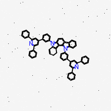 C1=Cc2c(c3c(ccc4c5ccccc5n(-c5cccc(-c6cc(-c7ccccc7)nc(-c7ccccc7)c6)c5)c43)n2-c2cccc(-c3cc(-c4ccccc4)nc(-c4ccccc4)c3)c2)CC1